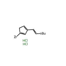 CCCCC=CC1=CC[C]([Zr])=C1.Cl.Cl